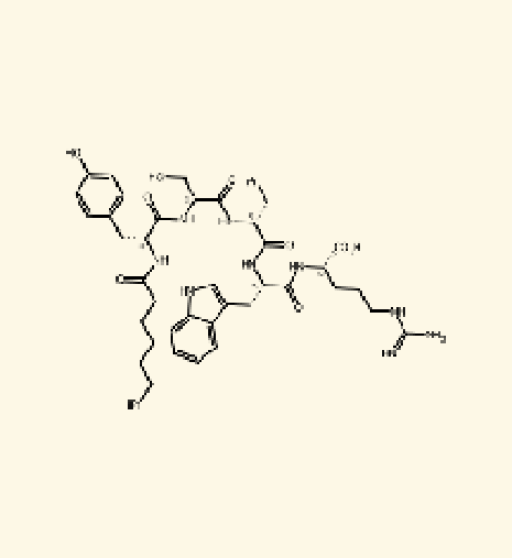 CC(C)CCCCCC(=O)N[C@H](Cc1ccc(O)cc1)C(=O)N[C@@H](CO)C(=O)N[C@H](CC(C)C)C(=O)N[C@@H](Cc1c[nH]c2ccccc12)C(=O)N[C@@H](CCCNC(=N)N)C(=O)O